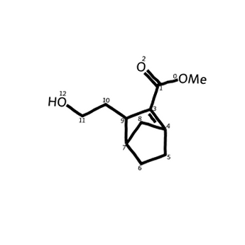 COC(=O)C1=C2CCC(C2)C1CCO